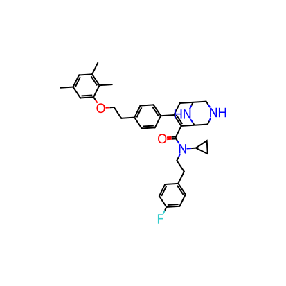 Cc1cc(C)c(C)c(OCCc2ccc(C3=C(C(=O)N(CCc4ccc(F)cc4)C4CC4)C4CNCC(C3)N4)cc2)c1